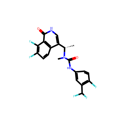 C[C@@H](c1c[nH]c(=O)c2c(F)c(F)ccc12)N(C)C(=O)Nc1ccc(F)c(C(F)F)c1